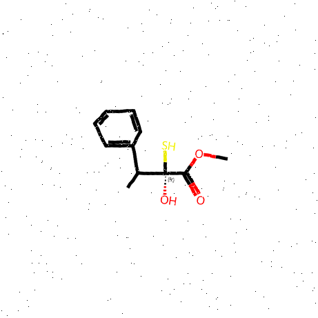 COC(=O)[C@](O)(S)C(C)c1ccccc1